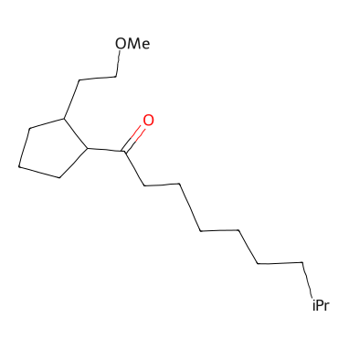 COCCC1CCCC1C(=O)CCCCCCC(C)C